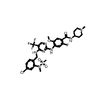 COc1cc(C(=O)NC2CCN(C)CC2)c(F)cc1Nc1ncc(C(F)(F)F)c(NCc2ccc(Cl)cc2N(C)S(C)(=O)=O)n1